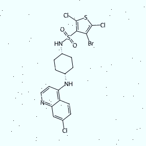 O=S(=O)(N[C@H]1CC[C@@H](Nc2ccnc3cc(Cl)ccc23)CC1)c1c(Cl)sc(Cl)c1Br